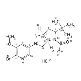 COc1cc(N2C[C@H]3CC(C(C)(C)C)N(C(=O)O)[C@H]3C2)cnc1Br.Cl